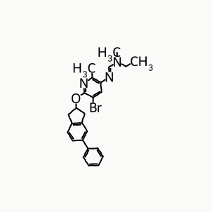 CCN(C)/C=N/c1cc(Br)c(OC2Cc3ccc(-c4ccccc4)cc3C2)nc1C